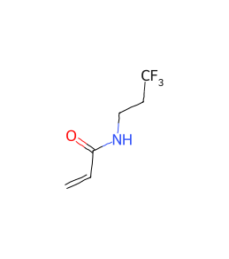 C=CC(=O)NCCC(F)(F)F